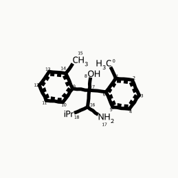 Cc1ccccc1C(O)(c1ccccc1C)C(N)C(C)C